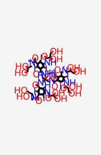 CN(CC(O)CO)C(=O)c1c(I)c(NC(=O)C(O)CO)c(I)c(C(=O)NCC(O)(CNC(=O)c2c(I)c(NC(=O)C(O)CO)c(I)c(C(=O)N(C)CC(O)CO)c2I)CNC(=O)c2c(I)c(NC(=O)C(O)CO)c(I)c(C(=O)N(C)CC(O)CO)c2I)c1I